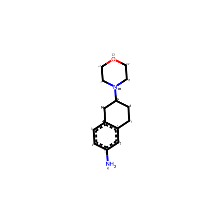 Nc1ccc2c(c1)CCC(N1CCOCC1)C2